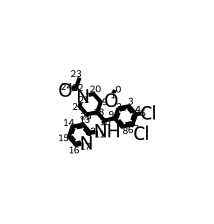 COc1cc(Cl)c(Cl)cc1C(Nc1ccccn1)C1CCN(C(C)=O)CC1